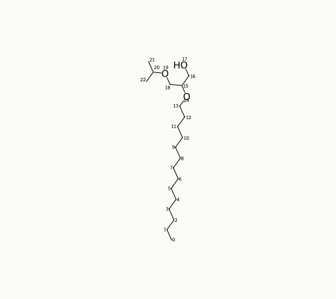 CCCCCCCCCCCCCCOC(CO)COC(C)C